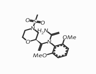 C=C(N)N(C(=C)[C@@H]1CN(S(C)(=O)=O)CCO1)c1c(OC)cccc1OC